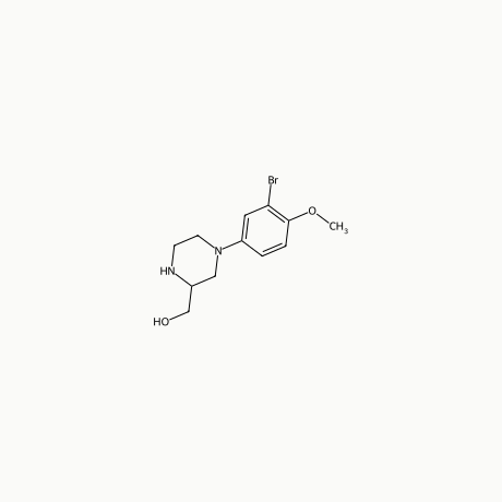 COc1ccc(N2CCNC(CO)C2)cc1Br